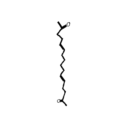 CC(=O)CCC=CCCCCC=CCCC(C)=O